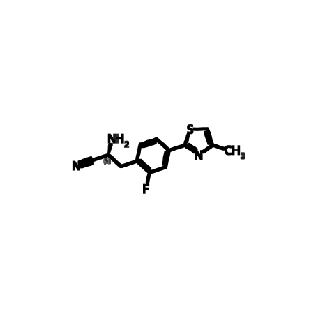 Cc1csc(-c2ccc(C[C@H](N)C#N)c(F)c2)n1